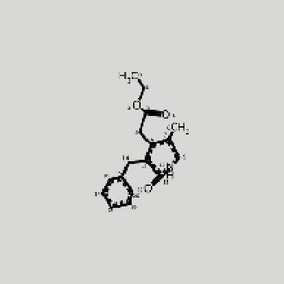 CCOC(=O)Cc1c(C)c[nH]c(=O)c1Cc1ccccc1